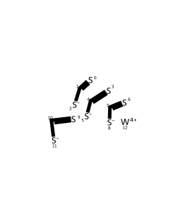 S=C[S-].S=C[S-].S=C[S-].S=C[S-].[W+4]